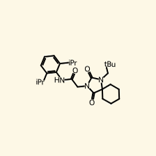 CC(C)c1cccc(C(C)C)c1NC(=O)CN1C(=O)N(CC(C)(C)C)C2(CCCCC2)C1=O